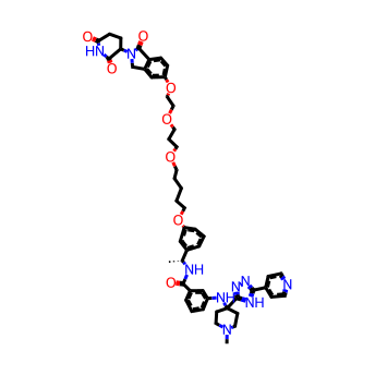 C[C@@H](NC(=O)c1cccc(NC2(c3nnc(-c4ccncc4)[nH]3)CCN(C)CC2)c1)c1cccc(OCCCCCOCCCOCCOc2ccc3c(c2)CN(C2CCC(=O)NC2=O)C3=O)c1